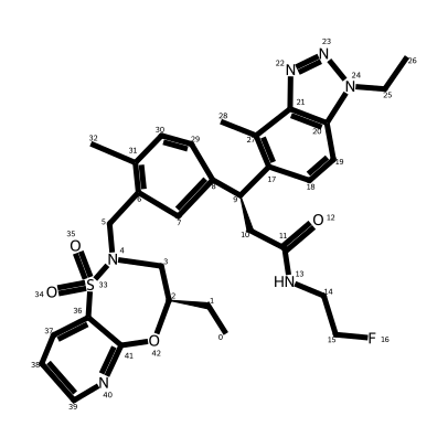 CC[C@@H]1CN(Cc2cc([C@H](CC(=O)NCCF)c3ccc4c(nnn4CC)c3C)ccc2C)S(=O)(=O)c2cccnc2O1